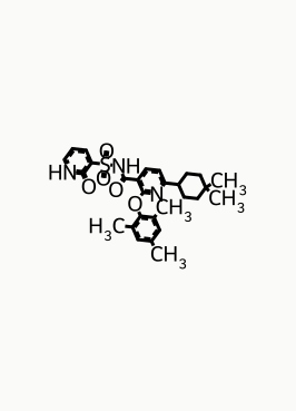 Cc1cc(C)c(Oc2nc(C3CCC(C)(C)CC3)ccc2C(=O)NS(=O)(=O)c2ccc[nH]c2=O)c(C)c1